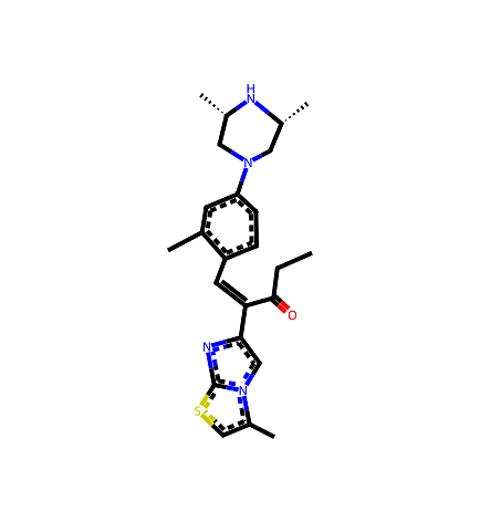 CCC(=O)/C(=C\c1ccc(N2C[C@@H](C)N[C@@H](C)C2)cc1C)c1cn2c(C)csc2n1